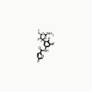 C[C@]1(c2cc(NC(=O)c3ccc(F)cn3)cc(F)c2F)N=C(N)O[C@H](CF)[C@@H]1F